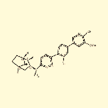 COc1cc(-c2ccc(-c3ncc(N(C)[C@H]4C[C@@H]5CC[C@@H](N5)[C@H]4F)nn3)c(O)c2)cnc1C#N